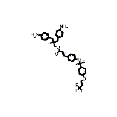 [CH2]C(COC(=O)/C=C/c1ccc(OC(F)(F)c2ccc(OCCC(F)(F)F)cc2)cc1)(Cc1ccc(N)cc1)Cc1ccc(N)cc1